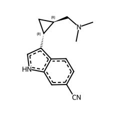 CN(C)C[C@@H]1C[C@H]1c1c[nH]c2cc(C#N)ccc12